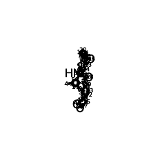 Cc1cc(C)cc(-c2[nH]c3sc(C(C)(C)C(=O)N4C5CCC4CC5)cc3c2C(=O)CCN2CCN(C3CCS(=O)(=O)C3)CC2)c1